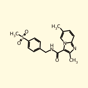 Cc1ccc2nc(C)c(C(=O)NCc3ccc(S(C)(=O)=O)cc3)n2c1